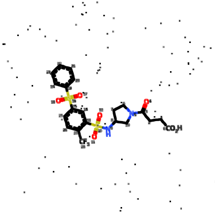 O=C(O)CCC(=O)N1CCC(NS(=O)(=O)c2cc(S(=O)(=O)c3ccccc3)ccc2C(F)(F)F)C1